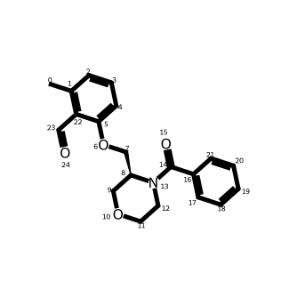 Cc1cccc(OC[C@@H]2COCCN2C(=O)c2ccccc2)c1C=O